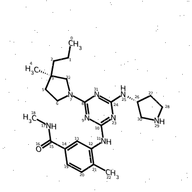 CCC[C@]1(C)CCN(c2nc(Nc3cc(C(=O)NC)ccc3C)nc(N[C@@H]3CCNC3)n2)C1